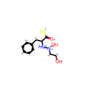 O=C(S)C(Cc1ccccc1)NN(O)CCO